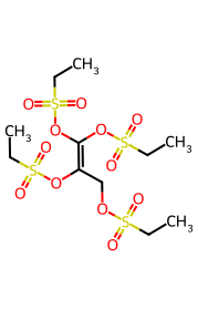 CCS(=O)(=O)OCC(OS(=O)(=O)CC)=C(OS(=O)(=O)CC)OS(=O)(=O)CC